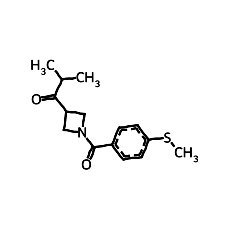 CSc1ccc(C(=O)N2CC(C(=O)C(C)C)C2)cc1